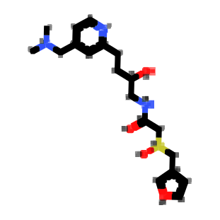 CN(C)Cc1ccnc(CCC(O)CNC(=O)C[S+]([O-])Cc2ccoc2)c1